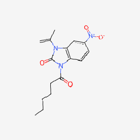 C=C(C)n1c(=O)n(C(=O)CCCCC)c2ccc([N+](=O)[O-])cc21